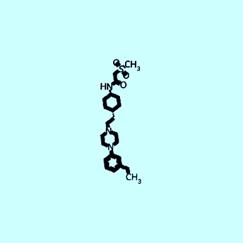 CCc1cccc(N2CCN(CC[C@H]3CC[C@H](NC(=O)CS(C)(=O)=O)CC3)CC2)c1